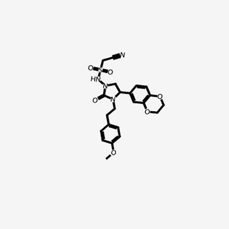 COc1ccc(CCN2C(=O)N(NS(=O)(=O)CC#N)CC2c2ccc3c(c2)OCCO3)cc1